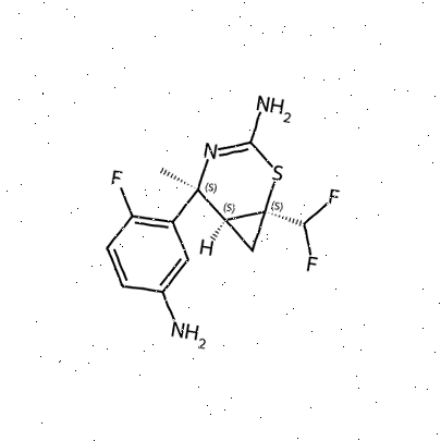 C[C@]1(c2cc(N)ccc2F)N=C(N)S[C@@]2(C(F)F)C[C@@H]12